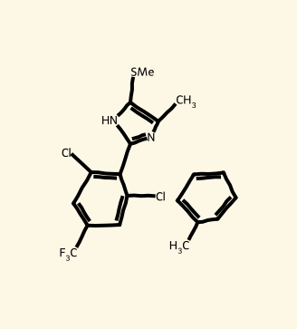 CSc1[nH]c(-c2c(Cl)cc(C(F)(F)F)cc2Cl)nc1C.Cc1ccccc1